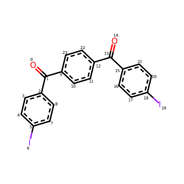 O=C(c1ccc(I)cc1)c1ccc(C(=O)c2ccc(I)cc2)cc1